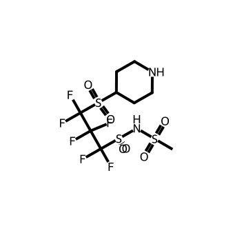 CS(=O)(=O)NS(=O)(=O)C(F)(F)C(F)(F)C(F)(F)S(=O)(=O)C1CCNCC1